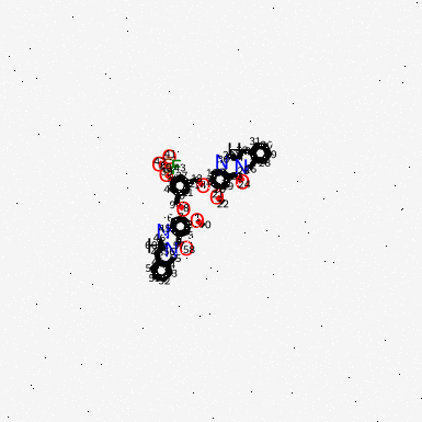 COc1cc2c(cc1OCc1cc(COc3cc4c(cc3OC)C(=O)N3Cc5ccccc5C[C@H]3C=N4)cc(OS(=O)(=O)F)c1)N=C[C@@H]1Cc3ccccc3CN1C2=O